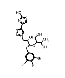 C[C@@H](O)C(CO)OC(Sc1cc(Br)c(F)c(Br)c1)[C@@H](O)Cn1cc(-c2csc(O)n2)nn1